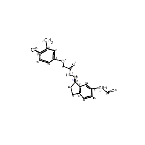 Cc1cc(OCC(=O)N/N=C2\CCc3ccc(NC=O)cc32)ccc1Cl